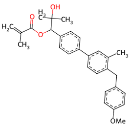 C=C(C)C(=O)OC(c1ccc(-c2ccc(Cc3ccc(OC)cc3)c(C)c2)cc1)C(C)(C)O